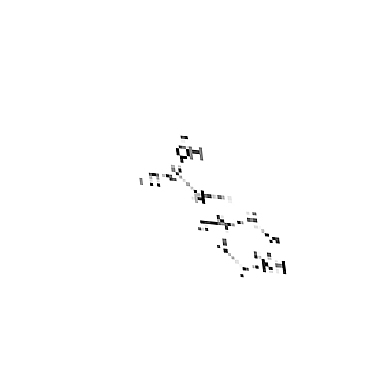 O=C(O)N1CC2(CCNCC2)C1